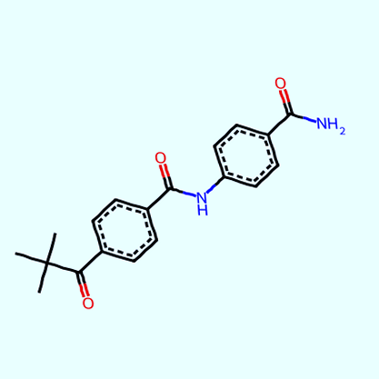 CC(C)(C)C(=O)c1ccc(C(=O)Nc2ccc(C(N)=O)cc2)cc1